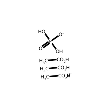 CC(=O)O.CC(=O)O.CC(=O)O.O=P([O-])(O)O.[Li+]